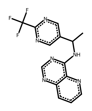 CC(Nc1ncnc2cccnc12)c1cnc(C(F)(F)F)nc1